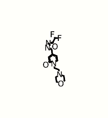 O=c1cc(-c2nnc(C(F)F)o2)ccn1CCN1CCOCC1